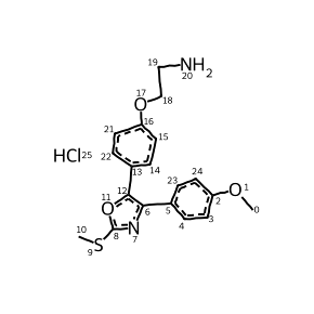 COc1ccc(-c2nc(SC)oc2-c2ccc(OCCN)cc2)cc1.Cl